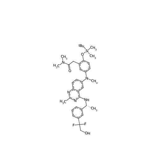 Cc1nc(N[C@H](C)c2cccc(C(F)(F)CO)c2)c2cc(N(C)c3ccc(O[Si](C)(C)C(C)(C)C)c(CC(=O)N(C)C)c3)ccc2n1